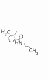 CCCCNC(=O)c1cccc(C)c1I